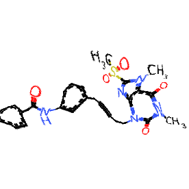 Cn1c(=O)c2c(nc(S(C)(=O)=O)n2C)n(CC#Cc2cccc(NC(=O)c3ccccc3)c2)c1=O